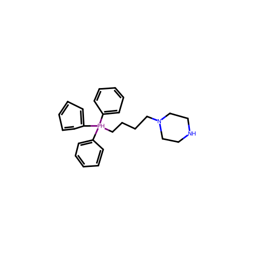 c1ccc([PH](CCCCN2CCNCC2)(c2ccccc2)c2ccccc2)cc1